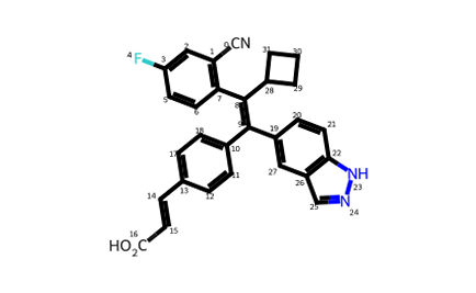 N#Cc1cc(F)ccc1C(=C(c1ccc(C=CC(=O)O)cc1)c1ccc2[nH]ncc2c1)C1CCC1